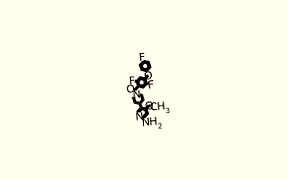 COc1cc(N)ncc1C1CCN(C(=O)c2cc(F)c(Oc3ccc(F)cc3)cc2F)CC1